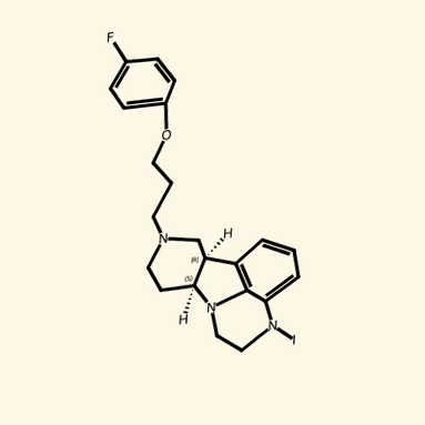 Fc1ccc(OCCCN2CC[C@H]3[C@@H](C2)c2cccc4c2N3CCN4I)cc1